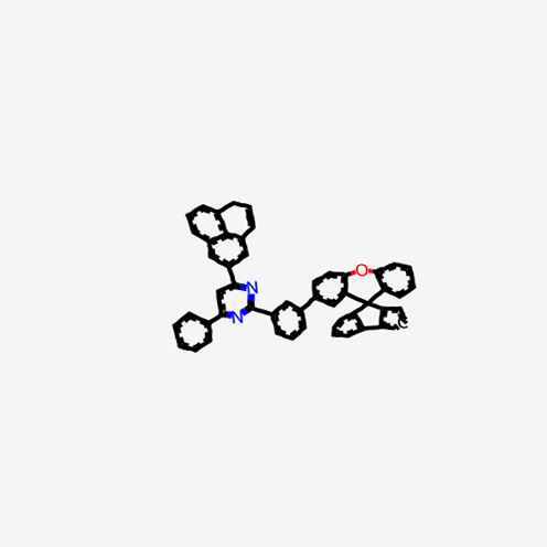 C1=Cc2cc(-c3cc(-c4ccccc4)nc(-c4cccc(-c5ccc6c(c5)C5(c7ccccc7O6)c6ccccc6-c6ccccc65)c4)n3)cc3cccc(c23)C1